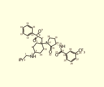 CC(C)CNC1CCC(CS(=O)(=O)c2ccccc2)(N2CC[C@H](NC(=O)c3cccc(C(F)(F)F)c3)C2=O)CC1